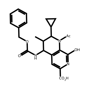 CC(=O)N1c2c(cc(C(=O)O)nc2O)C(NC(=O)OCc2ccccc2)C(C)C1C1CC1